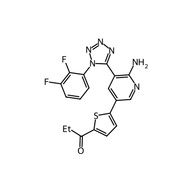 CCC(=O)c1ccc(-c2cnc(N)c(-c3nnnn3-c3cccc(F)c3F)c2)s1